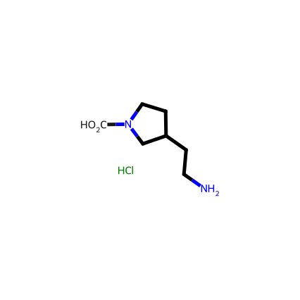 Cl.NCCC1CCN(C(=O)O)C1